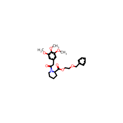 COc1cc(CC(=O)N2CCCCC2C(=O)OCCOCc2ccccc2)cc(OC)c1OC